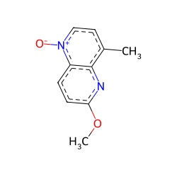 COc1ccc2c(n1)c(C)cc[n+]2[O-]